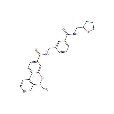 CC1Oc2cc(C(=O)NCc3cccc(C(=O)NCC4CCCO4)c3)ccc2-c2ccncc21